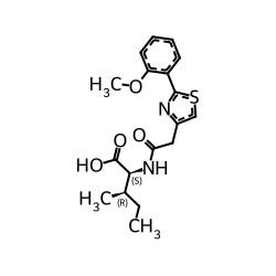 CC[C@@H](C)[C@H](NC(=O)Cc1csc(-c2ccccc2OC)n1)C(=O)O